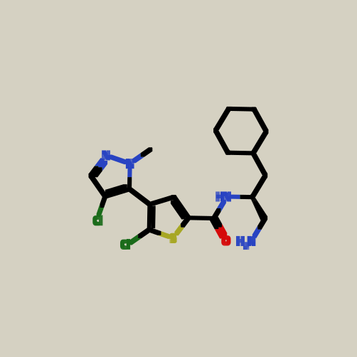 Cn1ncc(Cl)c1-c1cc(C(=O)N[C@H](CN)CC2CCCCC2)sc1Cl